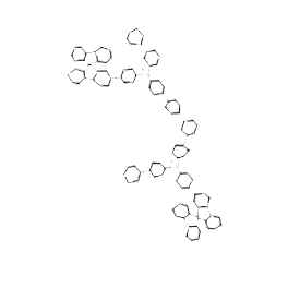 c1ccc(-c2ccc(N(c3ccc(-c4cccc(-c5ccc(-c6ccc(N(c7ccc(-c8ccc9c(c8)C8(c%10ccccc%10-c%10ccccc%108)c8ccccc8-9)cc7)c7cccc(-c8ccccc8)c7)cc6)cc5)c4)cc3)c3ccc(-c4ccc5c(c4)C4(c6ccccc6-c6ccccc64)c4ccccc4-5)cc3)cc2)cc1